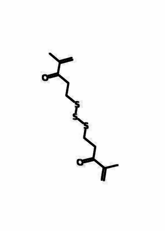 C=C(C)C(=O)CCSSSCCC(=O)C(=C)C